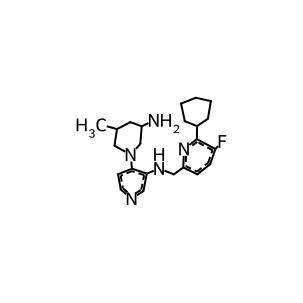 CC1CC(N)CN(c2ccncc2NCc2ccc(F)c(C3CCCCC3)n2)C1